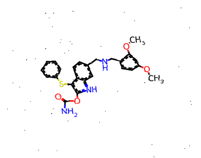 COc1ccc(CNCc2ccc3c(Sc4ccccc4)c(OC(N)=O)[nH]c3c2)c(OC)c1